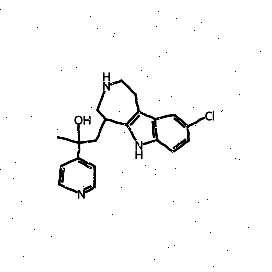 CC(O)(CC1CNCCc2c1[nH]c1ccc(Cl)cc21)c1ccncc1